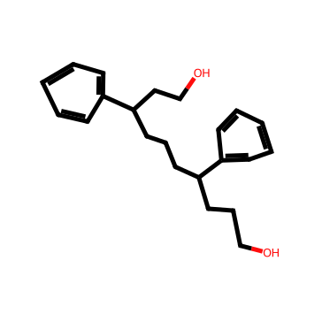 OCCCC(CCCC(CCO)c1ccccc1)c1ccccc1